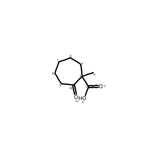 CC1(C(=O)O)CCCCCC1=O